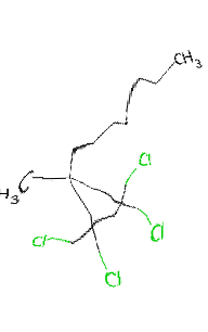 CCCCC1(C)C(Cl)(Cl)C1(Cl)Cl